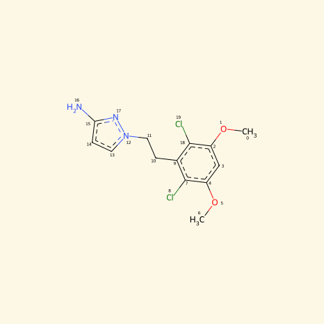 COc1cc(OC)c(Cl)c(CCn2ccc(N)n2)c1Cl